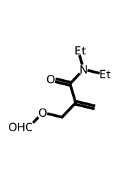 C=C(COC=O)C(=O)N(CC)CC